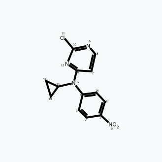 O=[N+]([O-])c1ccc(N(c2ccnc(Cl)n2)C2CC2)cc1